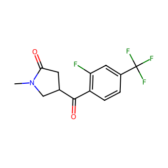 CN1CC(C(=O)c2ccc(C(F)(F)F)cc2F)CC1=O